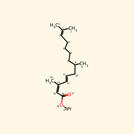 CC(C)=CCCCCC(C)CC=CC(C)=CC(=O)OC(C)C